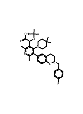 Cc1nc(C)c(C(OC(C)(C)C)C(=O)O)c(N2CCC(C)(C)CC2)c1-c1ccc2c(c1)CC[C@@H](Cc1ccc(F)cc1)O2